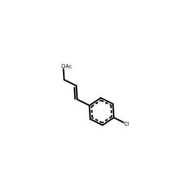 CC(=O)OCC=Cc1ccc(Cl)cc1